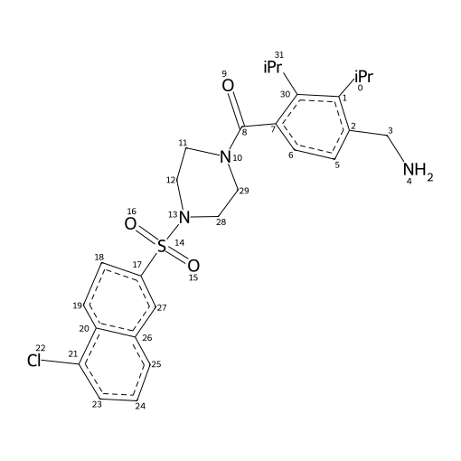 CC(C)c1c(CN)ccc(C(=O)N2CCN(S(=O)(=O)c3ccc4c(Cl)cccc4c3)CC2)c1C(C)C